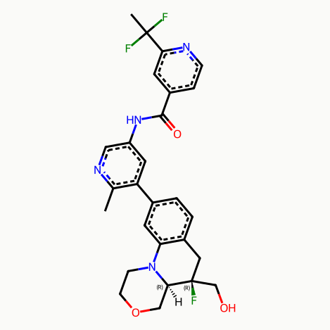 Cc1ncc(NC(=O)c2ccnc(C(C)(F)F)c2)cc1-c1ccc2c(c1)N1CCOC[C@@H]1[C@@](F)(CO)C2